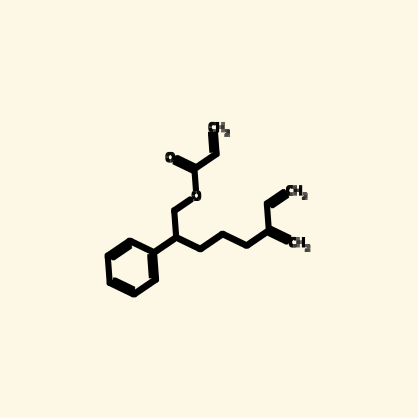 C=CC(=C)CCCC(COC(=O)C=C)c1ccccc1